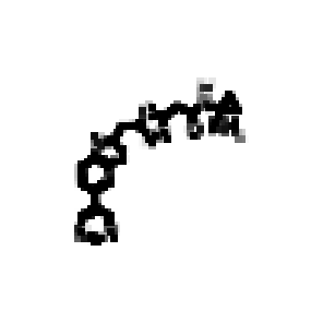 NC1(NC(=O)Cc2nnc(Cc3nc4ccc(-c5cncnc5)cc4s3)o2)CC1